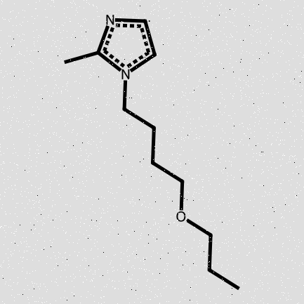 CCCOCCCCn1c[c]nc1C